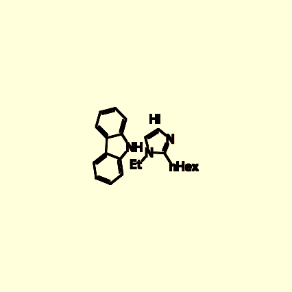 CCCCCCc1nccn1CC.I.c1ccc2c(c1)[nH]c1ccccc12